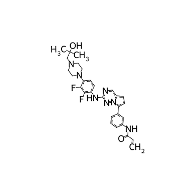 C=CC(=O)Nc1cccc(-c2ccc3cnc(Nc4ccc(N5CCN(CC(C)(C)O)CC5)c(F)c4F)nn23)c1